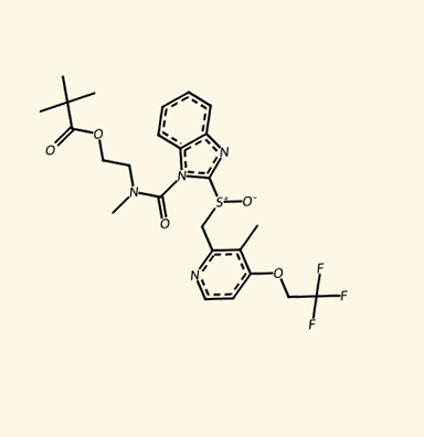 Cc1c(OCC(F)(F)F)ccnc1C[S+]([O-])c1nc2ccccc2n1C(=O)N(C)CCOC(=O)C(C)(C)C